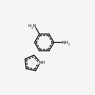 Nc1cccc(N)c1.c1cc[nH]c1